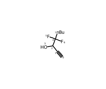 C#CC(O)C(F)(F)CCCC